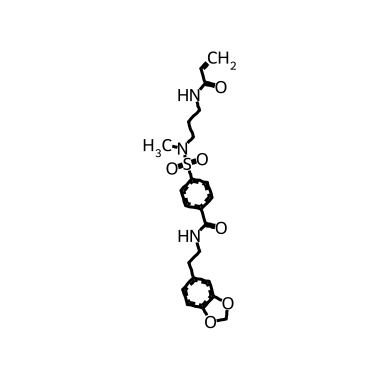 C=CC(=O)NCCCN(C)S(=O)(=O)c1ccc(C(=O)NCCc2ccc3c(c2)OCO3)cc1